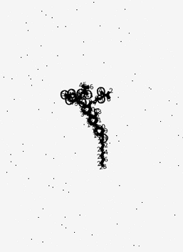 C=C(C)C(=O)OCCCc1cc(-c2ccc(-c3ccc(OCCCCCCCC)cc3)cc2F)ccc1OCC1(COC(=O)C(=C)C)COC(=O)OC1